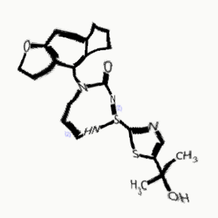 CC(C)(O)c1cnc(/S2=N/C(=O)N(c3c4c(cc5c3CCO5)CCC4)C/C=C\N2)s1